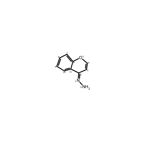 NN=c1ccoc2ccccc12